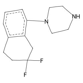 FC1(F)CCc2cccc(N3CCNCC3)c2C1